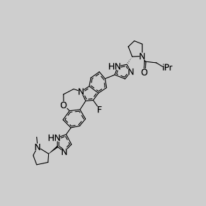 CC(C)CC(=O)N1CCC[C@H]1c1ncc(-c2ccc3c(c2)c(F)c2n3CCOc3cc(-c4cnc([C@H]5CCCN5C)[nH]4)ccc3-2)[nH]1